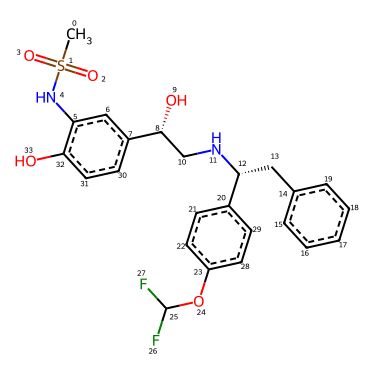 CS(=O)(=O)Nc1cc([C@H](O)CN[C@H](Cc2ccccc2)c2ccc(OC(F)F)cc2)ccc1O